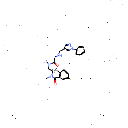 CCN(CCN(C)C(=O)c1cc(F)ccc1C(F)(F)F)C(=O)CNCc1cnn(-c2ccccc2)c1